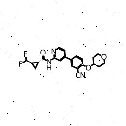 N#Cc1cc(-c2ccnc(NC(=O)[C@@H]3C[C@H]3C(F)F)c2)ccc1OC1CCOCC1